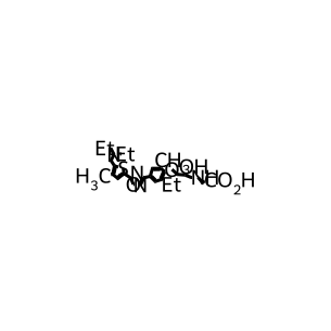 CCc1cc(-c2noc(-c3cc(C)c(CN(CC)CC)s3)n2)cc(C)c1OCC(O)CNCC(=O)O